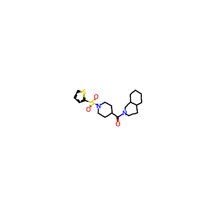 O=C(C1CCN(S(=O)(=O)c2cccs2)CC1)N1CCC2CCCCC2C1